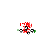 O=C(O[C@@]1(C(=O)c2ccc(F)cc2)[C](C(=O)c2ccc(F)cc2)O[C@H](C(O)O)[C@@H](O)[C@@H]1O)c1ccc(F)cc1